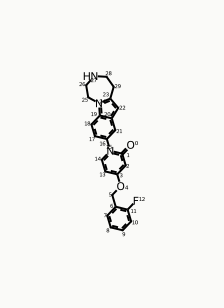 O=c1cc(OCc2ccccc2F)ccn1-c1ccc2c(c1)cc1n2CCNCC1